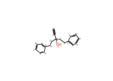 C#CC(O)(CCc1ccccc1)CCc1ccccc1